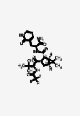 CC(C)(C)[C@H](NC(=O)C(F)(F)F)C(=O)N1C[C@H]2[C@@H]([C@H]1C(=O)NC(Cc1ccc[nH]c1=O)C(N)=O)C2(C)C